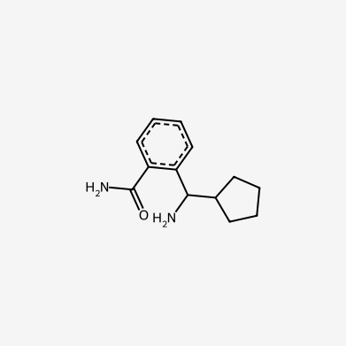 NC(=O)c1ccccc1C(N)C1CCCC1